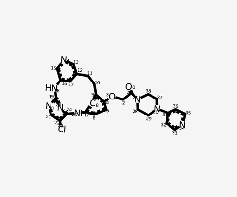 O=C(COc1ccc2cc1CCc1cncc(c1)Nc1ncc(Cl)c(n1)N2)N1CCN(c2ccncc2)CC1